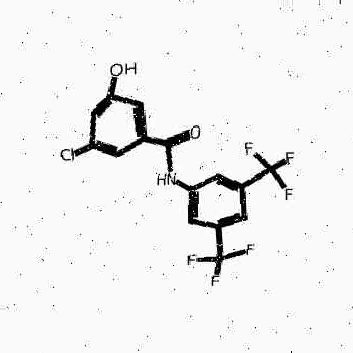 O=C(Nc1cc(C(F)(F)F)cc(C(F)(F)F)c1)c1cc(O)cc(Cl)c1